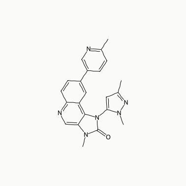 Cc1ccc(-c2ccc3ncc4c(c3c2)n(-c2cc(C)nn2C)c(=O)n4C)cn1